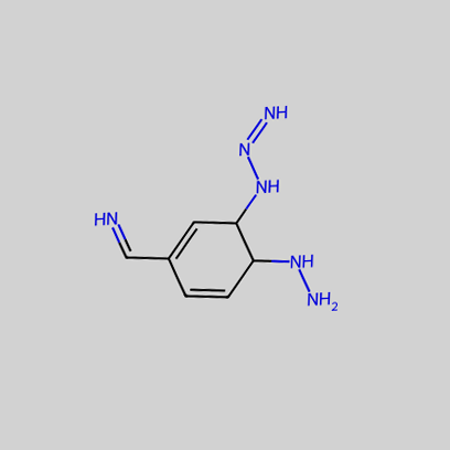 N=CC1=CC(NN=N)C(NN)C=C1